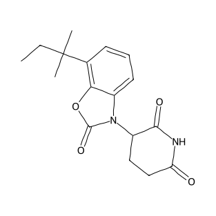 CCC(C)(C)c1cccc2c1oc(=O)n2C1CCC(=O)NC1=O